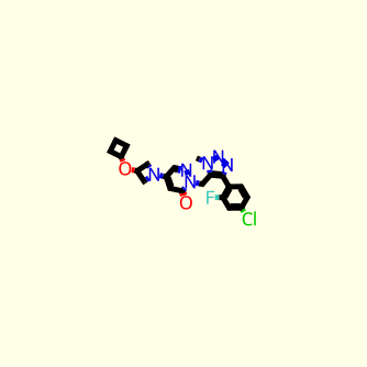 Cn1nnc(-c2ccc(Cl)cc2F)c1Cn1ncc(N2CC(OC3CCC3)C2)cc1=O